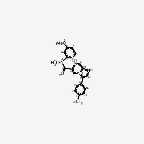 COc1ccnc(N(C)C(=O)c2cn3c(-c4ccc(C(F)(F)F)cc4)cnc3cn2)c1